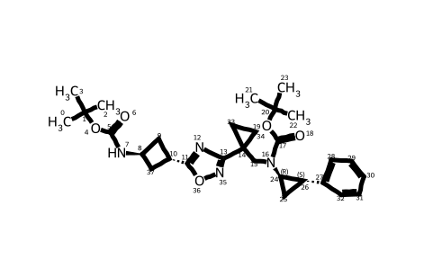 CC(C)(C)OC(=O)N[C@H]1C[C@H](c2nc(C3(CN(C(=O)OC(C)(C)C)[C@@H]4C[C@H]4c4ccccc4)CC3)no2)C1